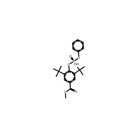 COC(=O)c1cc(C(C)(C)C)c(OP(=O)(O)Oc2ccccc2)c(C(C)(C)C)c1